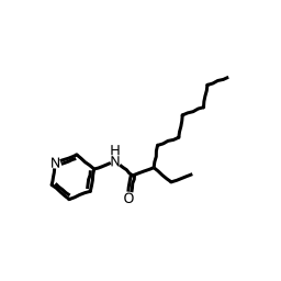 CCCCCCC(CC)C(=O)Nc1cccnc1